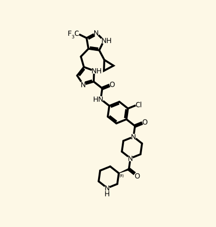 O=C(Nc1ccc(C(=O)N2CCN(C(=O)[C@@H]3CCCNC3)CC2)c(Cl)c1)c1ncc(Cc2c(C(F)(F)F)n[nH]c2C2CC2)[nH]1